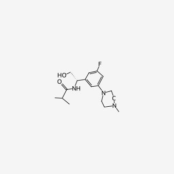 CC(C)C(=O)N[C@H](CO)c1cc(F)cc(N2CCN(C)CC2)c1